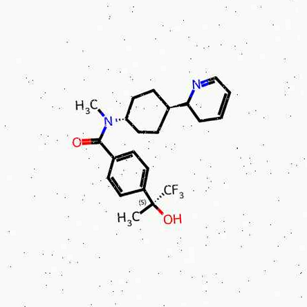 CN(C(=O)c1ccc([C@](C)(O)C(F)(F)F)cc1)[C@H]1CC[C@H](C2CC=CC=N2)CC1